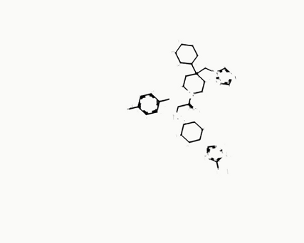 Cc1noc([C@H]2CC[C@@H](N[C@H](Cc3ccc(Cl)cc3)C(=O)N3CCC(Cn4cncn4)(C4CCCCC4)CC3)CC2)n1